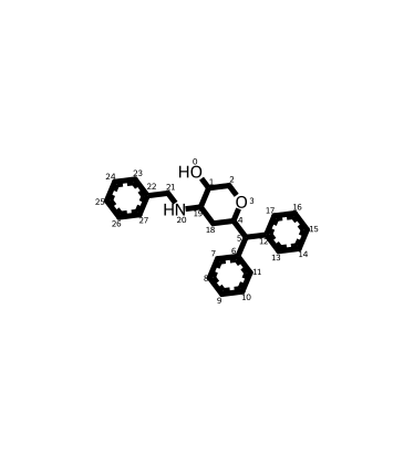 OC1COC(C(c2ccccc2)c2ccccc2)CC1NCc1ccccc1